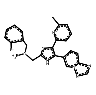 BN(Cc1nc(-c2cccc(C)n2)c(-c2ccc3ncnn3c2)[nH]1)Cc1ccccc1CC